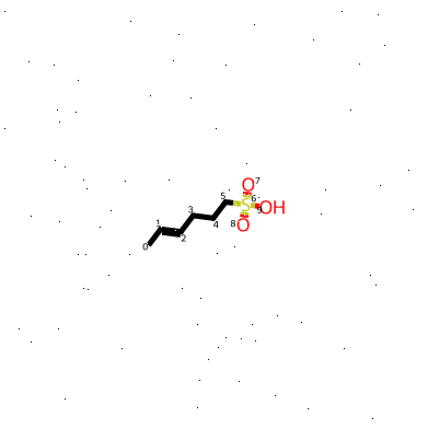 C/C=C/CCCS(=O)(=O)O